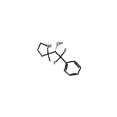 CC1([C@H](O)C(F)(F)c2ccccc2)CCCN1